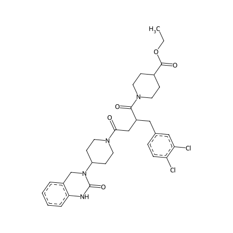 CCOC(=O)C1CCN(C(=O)C(CC(=O)N2CCC(N3Cc4ccccc4NC3=O)CC2)Cc2ccc(Cl)c(Cl)c2)CC1